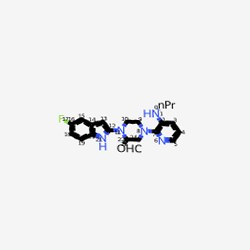 CCCNc1cccnc1N1CCN(c2cc3cc(F)ccc3[nH]2)C(C=O)C1